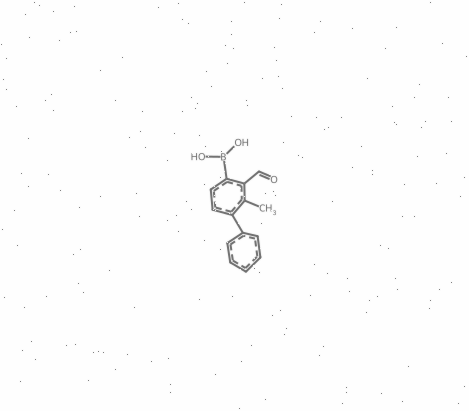 Cc1c(-c2ccccc2)ccc(B(O)O)c1C=O